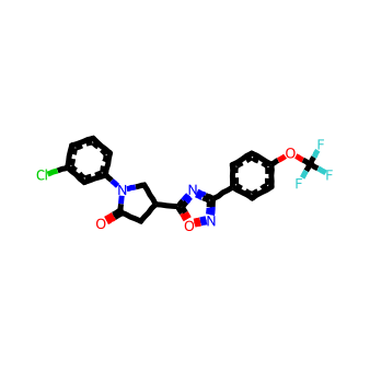 O=C1CC(c2nc(-c3ccc(OC(F)(F)F)cc3)no2)CN1c1cccc(Cl)c1